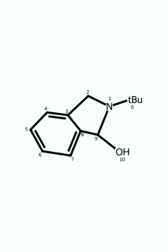 CC(C)(C)N1Cc2ccccc2C1O